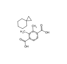 C1CCC2(CC1)CC2.Cc1c(C(=O)O)ccc(C(=O)O)c1C